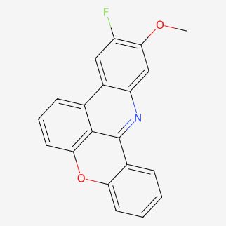 COc1cc2nc3c4c(cccc4c2cc1F)Oc1ccccc1-3